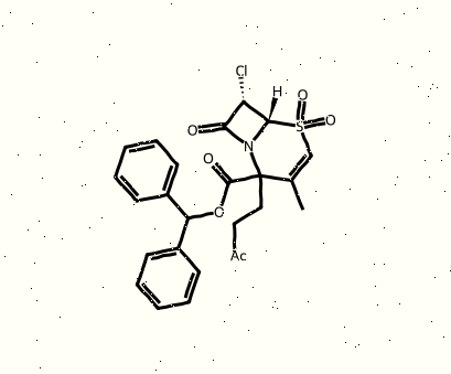 CC(=O)CCC1(C(=O)OC(c2ccccc2)c2ccccc2)C(C)=CS(=O)(=O)[C@H]2[C@@H](Cl)C(=O)N21